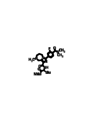 CNC(=O)[C@@H](NC(=O)c1nc(-c2ccc(C(=O)N(C)C)c(F)c2)n2c1CN(C)CCC2)C(C)(C)C